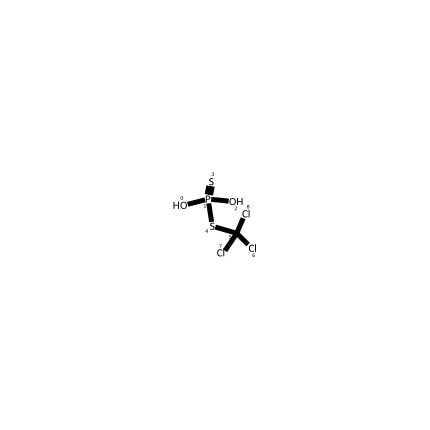 OP(O)(=S)SC(Cl)(Cl)Cl